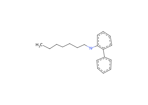 CCCCCCC[N]c1ccccc1-c1ccccc1